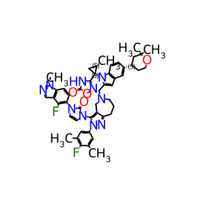 Cc1cc(-n2nc3c(c2-n2ccn(-c4ccc5c(cnn5C)c4F)c2=O)CN(Cc2cc4cc([C@H]5CCOC(C)(C)C5)ccc4n2[C@@]2(c4noc(=O)[nH]4)C[C@@H]2C)CCC3)cc(C)c1F